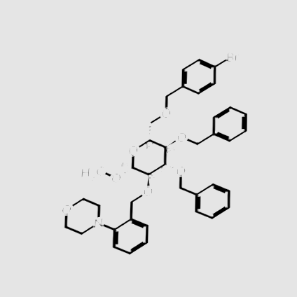 CO[C@@H]1O[C@H](COCc2ccc(Br)cc2)[C@@H](OCc2ccccc2)[C@H](OCc2ccccc2)[C@H]1OCc1ccccc1N1CCOCC1